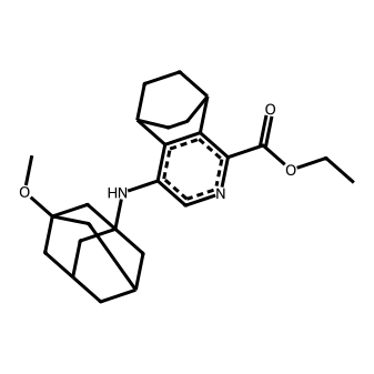 CCOC(=O)c1ncc(NC23CC4CC(C2)CC(OC)(C4)C3)c2c1C1CCC2CC1